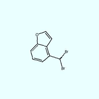 BrC(Br)c1cccc2occc12